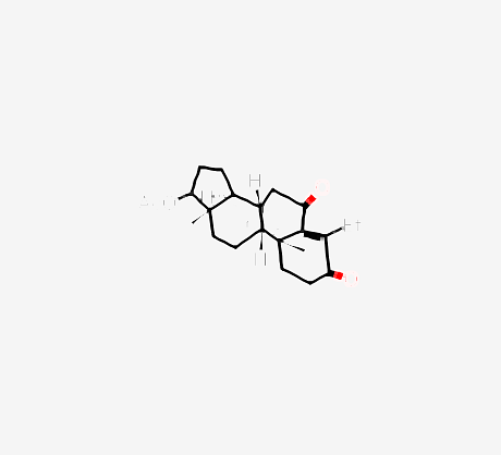 CCC1=C2C(=O)C[C@@H]3[C@@H](CC[C@]4(C)C(OC(C)=O)CC[C@@H]34)[C@@]2(C)CCC1=O